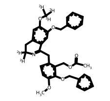 [2H]C1([2H])Cc2cc(OC([2H])([2H])[2H])c(OCc3ccccc3)cc2C(Cc2ccc(OC)c(OCc3ccccc3)c2COC(C)=O)=N1